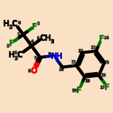 CC(F)(F)C(C)(C)C(=O)NCc1cc(F)cc(F)c1F